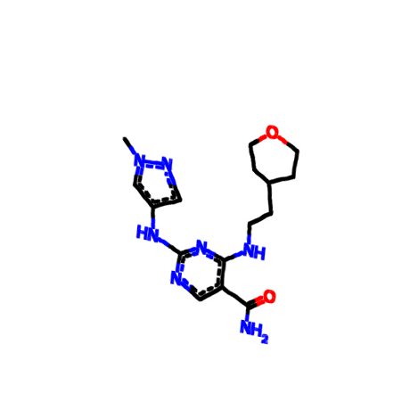 Cn1cc(Nc2ncc(C(N)=O)c(NCCC3CCOCC3)n2)cn1